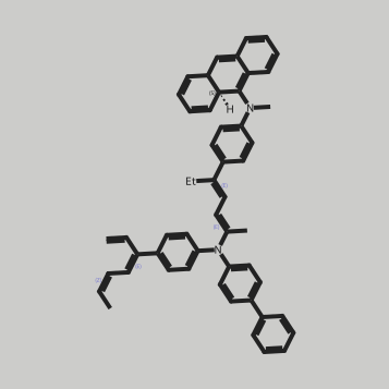 C=C/C(=C\C=C/C)c1ccc(N(/C(C)=C/C=C(\CC)c2ccc(N(C)C3=c4ccccc4=CC4C=CC=C[C@H]34)cc2)c2ccc(-c3ccccc3)cc2)cc1